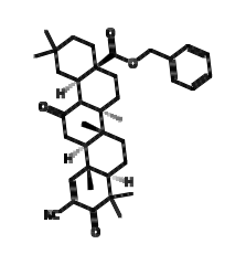 CC1(C)CC[C@]2(C(=O)OCc3ccccc3)CC[C@]3(C)C(C(=O)C[C@@H]4[C@@]5(C)C=C(C#N)C(=O)C(C)(C)[C@@H]5CC[C@]43C)[C@H]2C1